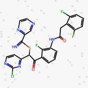 N=C(SC(C(=O)c1cccc(NC(=O)Cc2c(F)cccc2F)c1F)c1ccnc(Cl)n1)c1cnccn1